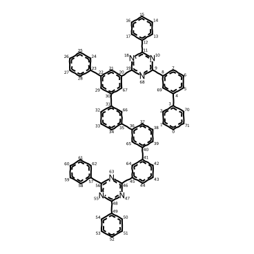 c1ccc(-c2cccc(-c3nc(-c4ccccc4)nc(-c4cc(-c5ccccc5)cc(-c5cccc(-c6cccc(-c7cccc(-c8nc(-c9ccccc9)nc(-c9ccccc9)n8)c7)c6)c5)c4)n3)c2)cc1